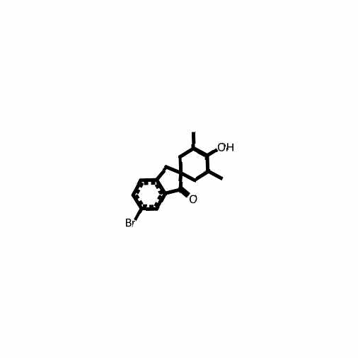 CC1CC2(Cc3ccc(Br)cc3C2=O)CC(C)C1O